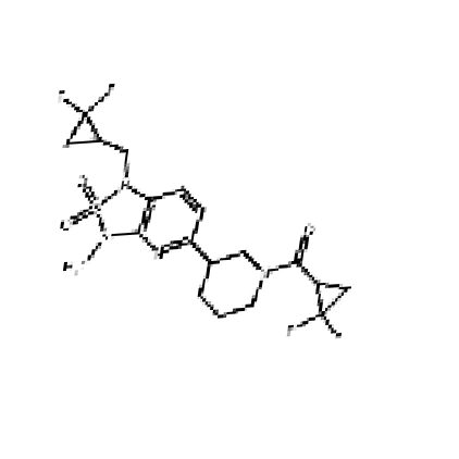 CN1c2nc(C3CCCN(C(=O)C4CC4(F)F)C3)ccc2N(CC2CC2(F)F)S1(=O)=O